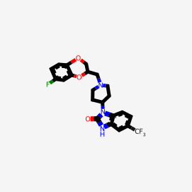 O=c1[nH]c2cc(C(F)(F)F)ccc2n1C1CCN(CC2COc3ccc(F)cc3O2)CC1